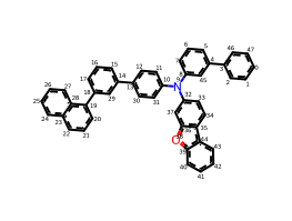 c1ccc(-c2cccc(N(c3ccc(-c4cccc(-c5cccc6ccccc56)c4)cc3)c3ccc4c(c3)oc3ccccc34)c2)cc1